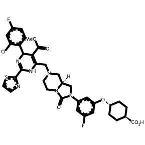 COC(=O)C1=C(CN2CCN3C(=O)N(c4cc(F)cc(O[C@H]5CC[C@H](C(=O)O)CC5)c4)C[C@@H]3C2)NC(c2nccs2)=NC1c1ccc(F)cc1Cl